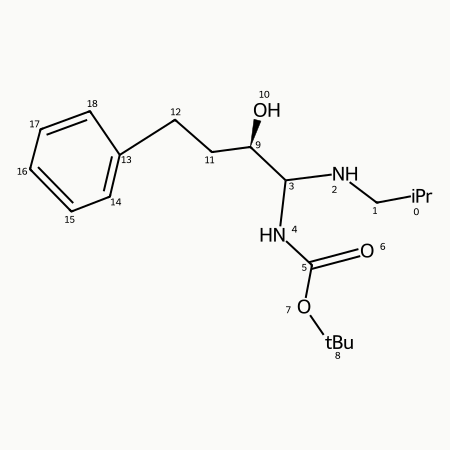 CC(C)CNC(NC(=O)OC(C)(C)C)[C@H](O)CCc1ccccc1